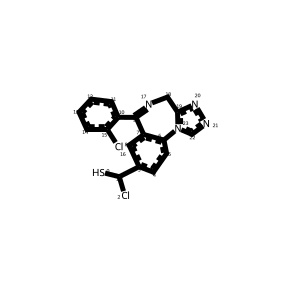 SC(Cl)c1ccc2c(c1)C(c1ccccc1Cl)=NCc1nncn1-2